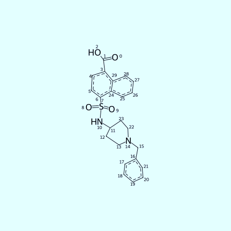 O=C(O)c1ccc(S(=O)(=O)NC2CCN(Cc3ccccc3)CC2)c2ccccc12